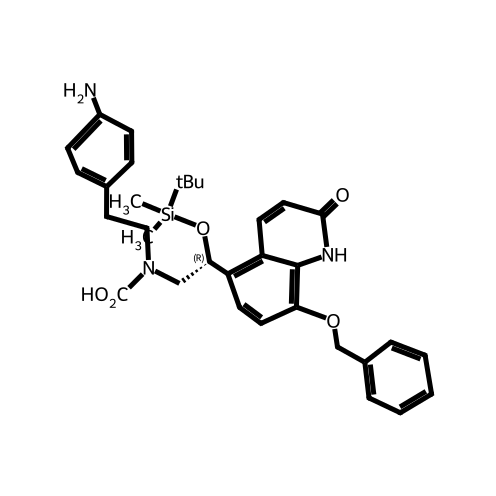 CC(C)(C)[Si](C)(C)O[C@@H](CN(CCc1ccc(N)cc1)C(=O)O)c1ccc(OCc2ccccc2)c2[nH]c(=O)ccc12